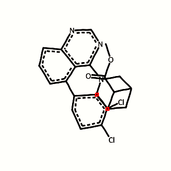 COC(=O)C1C2CC1CN(c1ncnc3cccc(-c4ccc(Cl)c(Cl)c4)c13)C2